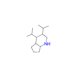 CC(C)C1CNC2CCCC2C1C(C)C